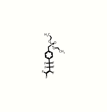 CCOP(=O)(Cc1ccc(C(F)(F)C(F)(F)C(F)=C(F)F)cc1)OCC